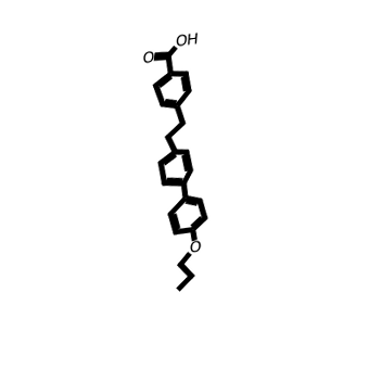 CCCOc1ccc(-c2ccc(CCc3ccc(C(=O)O)cc3)cc2)cc1